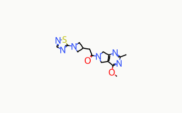 COc1nc(C)nc2c1CN(C(=O)CC1CN(c3ncns3)C1)C2